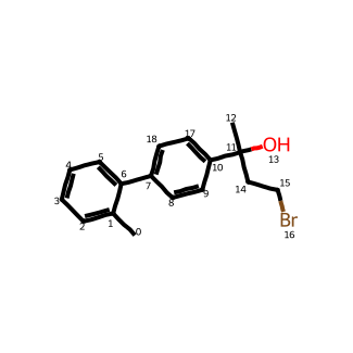 Cc1ccccc1-c1ccc(C(C)(O)CCBr)cc1